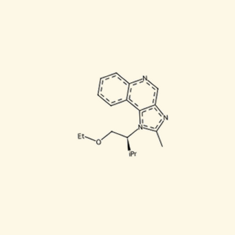 CCOC[C@H](C(C)C)n1c(C)nc2cnc3ccccc3c21